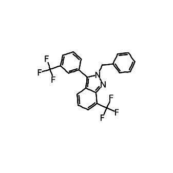 FC(F)(F)c1cccc(-c2c3cccc(C(F)(F)F)c3nn2Cc2ccccc2)c1